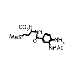 CSCCC(NC(=O)c1ccc(N)c(NC(C)=O)c1)C(=O)O